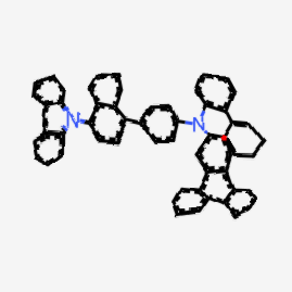 C1=CC(c2ccccc2N(c2ccc(-c3ccc(-n4c5ccccc5c5ccccc54)c4ccccc34)cc2)c2ccc3c4ccccc4c4ccccc4c3c2)=CCC1